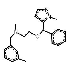 Cc1cccc(CN(C)CCOC(c2ccccc2)c2ccnn2C)c1